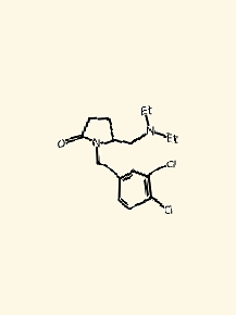 CCN(CC)CC1CCC(=O)N1Cc1ccc(Cl)c(Cl)c1